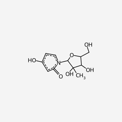 CC1(O)C(O)C(CO)OC1n1ccc(O)cc1=O